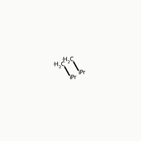 [CH2]C(C)C.[CH2]C(C)C